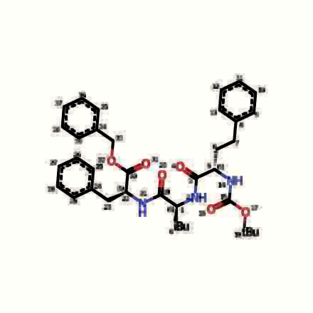 CCC(C)[C@H](NC(=O)[C@H](CCc1ccccc1)NC(=O)OC(C)(C)C)C(=O)N[C@@H](Cc1ccccc1)C(=O)OCc1ccccc1